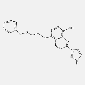 O[n+]1ccc(CCCOCc2ccccc2)c2ccc(-c3cc[nH]n3)cc21